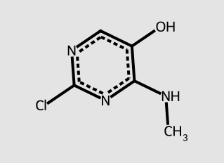 CNc1nc(Cl)ncc1O